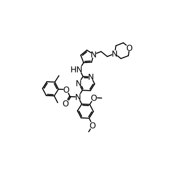 COc1ccc(N(C(=O)Oc2c(C)cccc2C)c2ccnc(Nc3ccn(CCN4CCOCC4)c3)n2)c(OC)c1